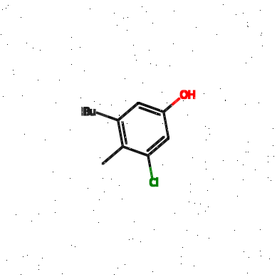 CCC(C)c1cc(O)cc(Cl)c1C